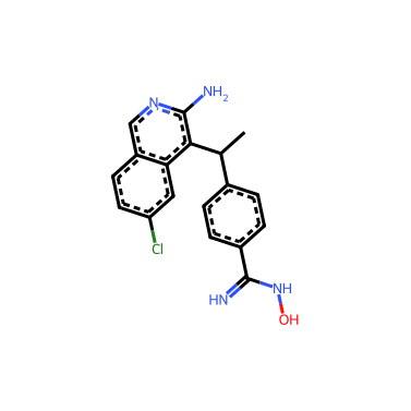 CC(c1ccc(C(=N)NO)cc1)c1c(N)ncc2ccc(Cl)cc12